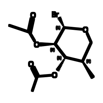 CC(=O)O[C@@H]1[C@@H](OC(C)=O)[C@H](Br)OC[C@H]1C